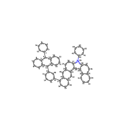 c1ccc(-c2c3ccccc3c(-c3cccc(-c4cccc5cc6c(ccc7c6c6c8ccccc8ccc6n7-c6ccccc6)cc45)c3)c3ccccc23)cc1